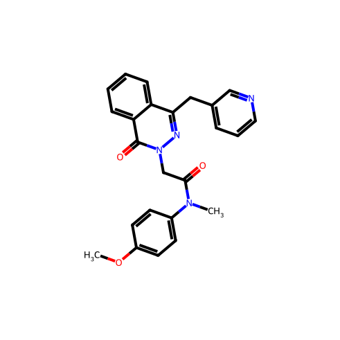 COc1ccc(N(C)C(=O)Cn2nc(Cc3cccnc3)c3ccccc3c2=O)cc1